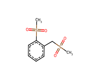 CS(=O)(=O)Cc1ccccc1S(C)(=O)=O